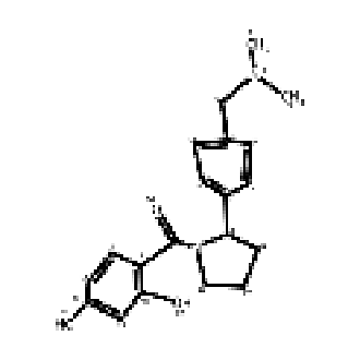 CN(C)Cc1ccc(C2CCCN2C(=O)c2ccc(O)cc2O)cc1